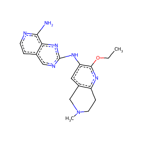 CCOc1nc2c(cc1Nc1ncc3ccnc(N)c3n1)CN(C)CC2